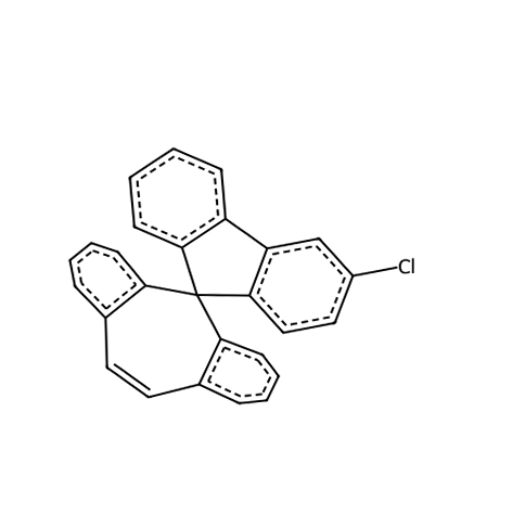 Clc1ccc2c(c1)-c1ccccc1C21c2ccccc2C=Cc2ccccc21